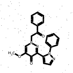 COc1cn(CC(=O)c2ccccc2)nc(-c2ccnn2-c2ccccc2)c1=O